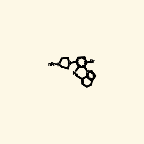 CCCN1CCN(c2ccc(Br)c3c2N=CC2=CCCc4ccn-3c42)CC1